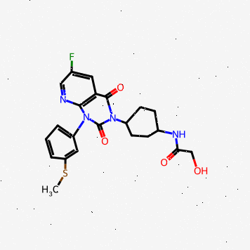 CSc1cccc(-n2c(=O)n(C3CCC(NC(=O)CO)CC3)c(=O)c3cc(F)cnc32)c1